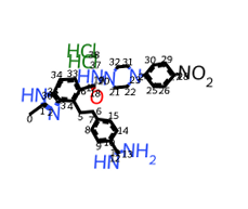 Cc1nc2c(CCc3ccc(C(=N)N)cc3)c(C(=O)NN3CCN(c4ccc([N+](=O)[O-])cc4)CC3)ccc2[nH]1.Cl.Cl